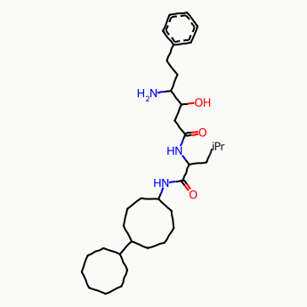 CC(C)CC(NC(=O)CC(O)C(N)CCc1ccccc1)C(=O)NC1CCCCC(C2CCCCCCC2)CCC1